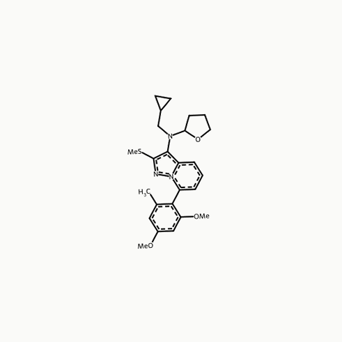 COc1cc(C)c(-c2cccc3c(N(CC4CC4)C4CCCO4)c(SC)nn23)c(OC)c1